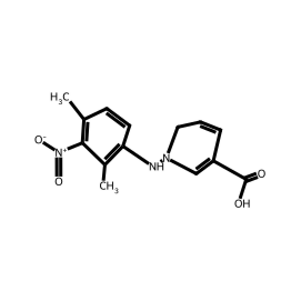 Cc1ccc(NN2C=C(C(=O)O)C=CC2)c(C)c1[N+](=O)[O-]